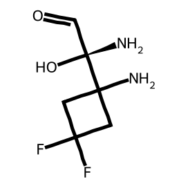 NC1([C@](N)(O)C=O)CC(F)(F)C1